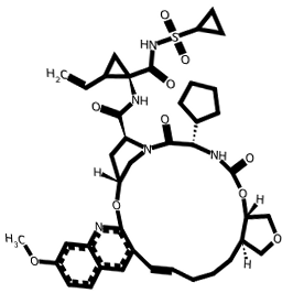 C=CC1C[C@]1(NC(=O)[C@@H]1C[C@@H]2CN1C(=O)[C@H](C1CCCC1)NC(=O)O[C@@H]1COC[C@H]1CCC/C=C/c1cc3ccc(OC)cc3nc1O2)C(=O)NS(=O)(=O)C1CC1